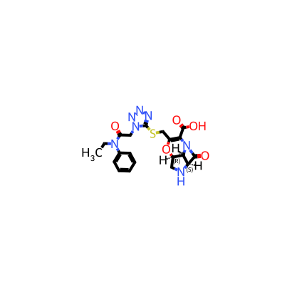 CCN(C(=O)Cn1nnnc1SCC1=C(C(=O)O)N2C(=O)[C@H]3NC[C@@H](O1)[C@H]32)c1ccccc1